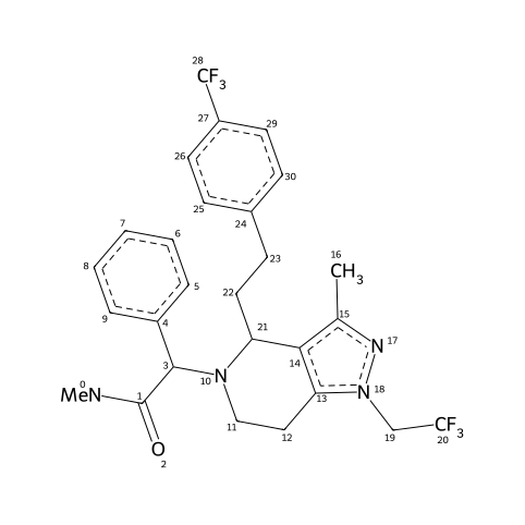 CNC(=O)C(c1ccccc1)N1CCc2c(c(C)nn2CC(F)(F)F)C1CCc1ccc(C(F)(F)F)cc1